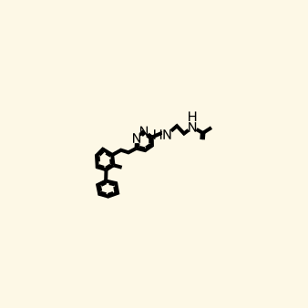 C=C(C)NCCNCc1ccc(CCc2cccc(-c3ccccc3)c2C)nn1